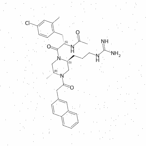 CC(=O)N[C@@H](Cc1ccc(Cl)cc1C)C(=O)N1C[C@@H](C)N(C(=O)Cc2ccc3ccccc3c2)C[C@@H]1CCCNC(=N)N